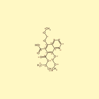 COCOc1c(C(=O)O)c(C(=O)OC(C)C)c(OCOC)c2ncccc12